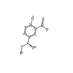 O=[N+]([O-])c1cc([C@@H](O)CBr)ccc1Cl